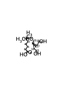 CC(C)CCCCC(=O)O.OCCN(CCO)CCO